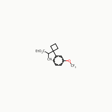 CCOC(=O)C(C#N)C1(c2cccc(OC(F)(F)F)c2)CCC1